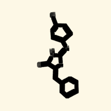 O=C1N/C(=N\c2ccc(Cl)cc2)S/C1=C\c1ccccc1